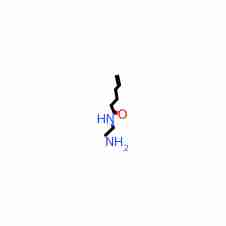 C=CCCCC(=O)NCCN